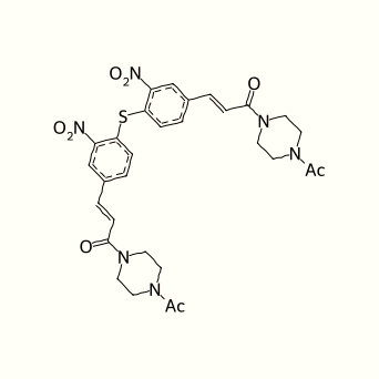 CC(=O)N1CCN(C(=O)C=Cc2ccc(Sc3ccc(C=CC(=O)N4CCN(C(C)=O)CC4)cc3[N+](=O)[O-])c([N+](=O)[O-])c2)CC1